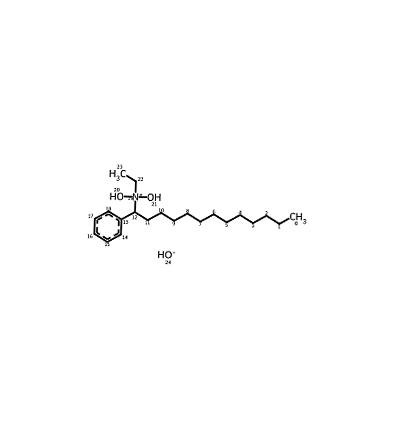 CCCCCCCCCCCCC(c1ccccc1)[N+](O)(O)CC.[OH-]